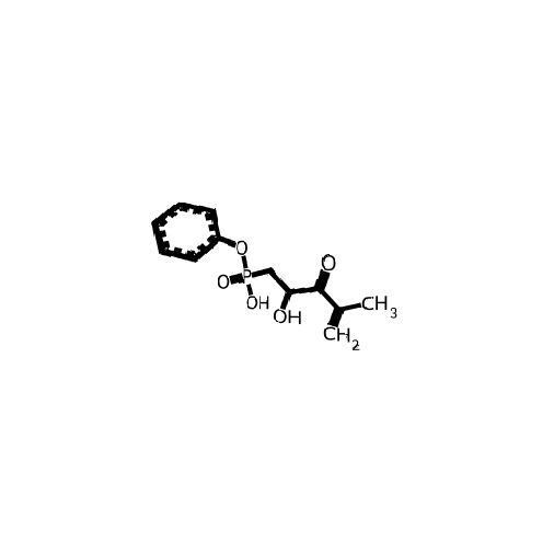 C=C(C)C(=O)C(O)CP(=O)(O)Oc1ccccc1